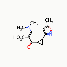 Cc1cc(C2CC2C(=O)C(=CN(C)C)C(=O)O)no1